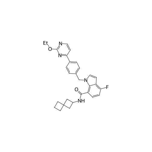 CCOc1nccc(-c2ccc(Cn3ccc4c(F)ccc(C(=O)NC5CC6(CCC6)C5)c43)cc2)n1